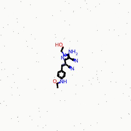 CC(=O)Nc1ccc(/C=C(\C#N)c2nn(CCO)c(N)c2C#N)cc1